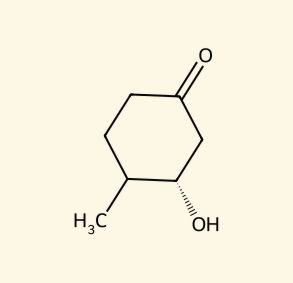 CC1CCC(=O)C[C@@H]1O